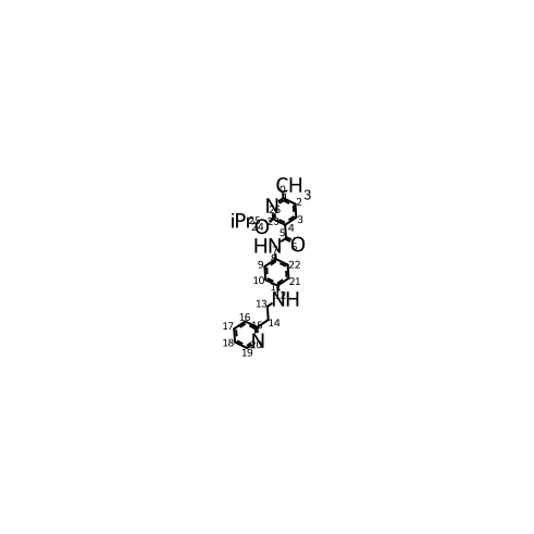 Cc1ccc(C(=O)Nc2ccc(NCCc3ccccn3)cc2)c(OC(C)C)n1